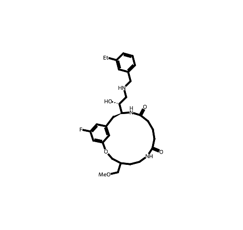 CCc1cccc(CNC[C@@H](O)[C@@H]2Cc3cc(F)cc(c3)OCC(COC)CCNC(=O)CCCC(=O)N2)c1